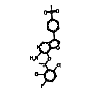 C[C@@H](Oc1c(N)ncc2c(-c3ccc(S(C)(=O)=O)cc3)coc12)c1c(Cl)ccc(F)c1Cl